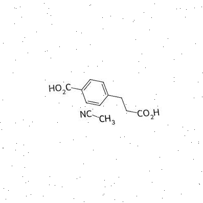 CC#N.O=C(O)CCc1ccc(C(=O)O)cc1